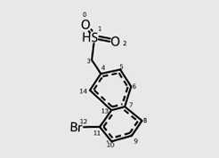 O=[SH](=O)Cc1ccc2cc[c]c(Br)c2c1